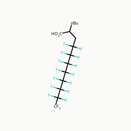 CCCCC(CC(F)(F)C(F)(F)C(F)(F)C(F)(F)C(F)(F)C(F)(F)C(F)(F)C(F)(F)F)C(=O)O